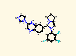 Fc1cc(F)c(F)c(N2C=C3CCCN3C2c2ccc3ncc(-n4ccnc4)nc3c2)c1